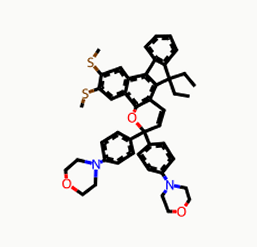 CCC1(CC)c2ccccc2-c2c1c1c(c3cc(SC)c(SC)cc23)OC(c2ccc(N3CCOCC3)cc2)(c2ccc(N3CCOCC3)cc2)C=C1